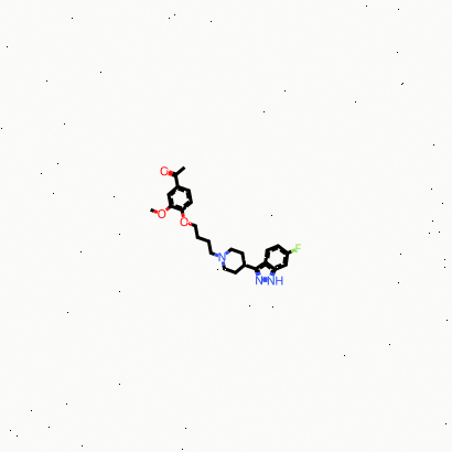 COc1cc(C(C)=O)ccc1OCCCCN1CCC(c2n[nH]c3cc(F)ccc23)CC1